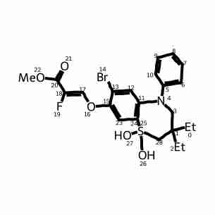 CCC1(CC)CN(c2ccccc2)c2cc(Br)c(O/C=C(\F)C(=O)OC)cc2S(O)(O)C1